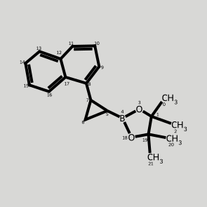 CC1(C)OB(C2CC2c2cccc3ccccc23)OC1(C)C